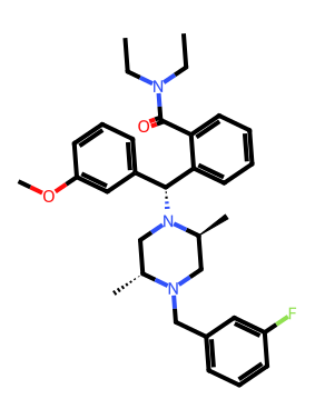 CCN(CC)C(=O)c1ccccc1[C@@H](c1cccc(OC)c1)N1C[C@@H](C)N(Cc2cccc(F)c2)C[C@@H]1C